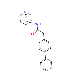 O=C(Cc1ccc(-c2ccccc2)cc1)NC1CN2CCC1CC2